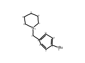 CC(C)(C)c1ccc(CN2CC[CH]CC2)cc1